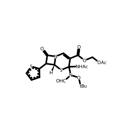 CC(=O)NC1(N(C=O)OC(C)(C)C)S[C@@H]2C(c3cccs3)C(=O)N2C=C1C(=O)OCOC(C)=O